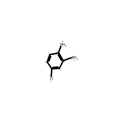 Bc1cc(Cl)ccc1N